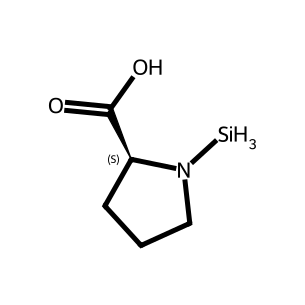 O=C(O)[C@@H]1CCCN1[SiH3]